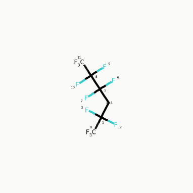 FC(F)(F)C(F)(F)[C]C(F)(F)C(F)(F)C(F)(F)F